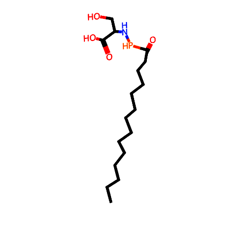 CCCCCCCCCCCCCC(=O)PNC(CO)C(=O)O